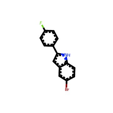 Fc1ccc(-c2cc3cc(Br)ccc3[nH]2)cc1